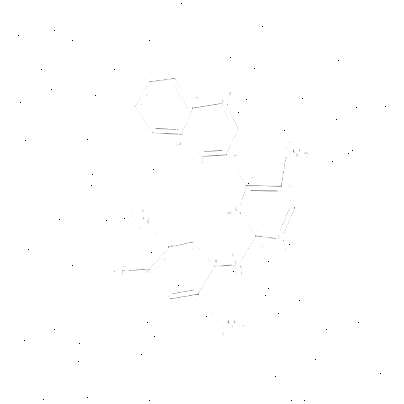 COc1cc(F)c([N+](=O)[O-])cc1Nc1ncc(OC)c(-c2cnc3ccccc3c2)n1